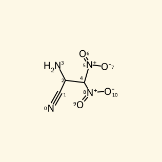 N#CC(N)C([N+](=O)[O-])[N+](=O)[O-]